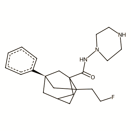 O=C(NN1CCNCC1)C12CC3CC1(CCF)C[C@](c1ccccc1)(C3)C2